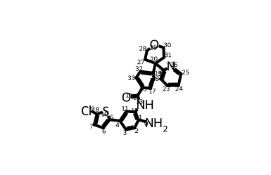 Nc1ccc(-c2ccc(Cl)s2)cc1NC(=O)c1ccc(C2(c3ccccn3)CCOCC2)cc1